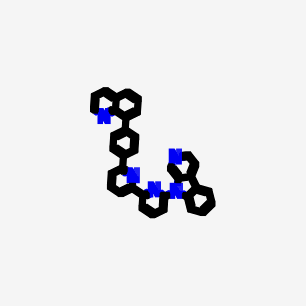 c1cc(-c2ccc(-c3cccc4cccnc34)cc2)nc(-c2cccc(-n3c4ccccc4c4ccncc43)n2)c1